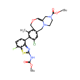 Cc1c2c(cc(Cl)c1-c1ccc(F)c3sc(NC(=O)OC(C)(C)C)nc13)CN1CCN(C(=O)OC(C)(C)C)C/C1=C/OC2